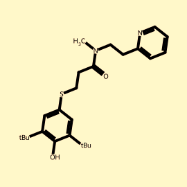 CN(CCc1ccccn1)C(=O)CCSc1cc(C(C)(C)C)c(O)c(C(C)(C)C)c1